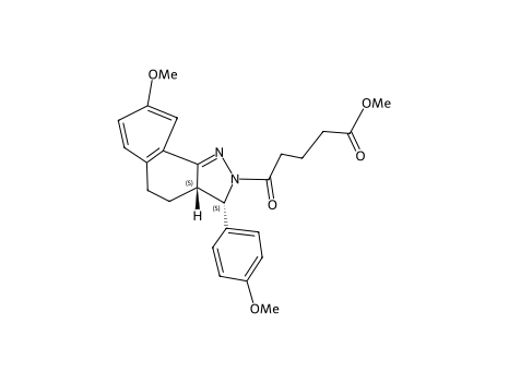 COC(=O)CCCC(=O)N1N=C2c3cc(OC)ccc3CC[C@H]2[C@H]1c1ccc(OC)cc1